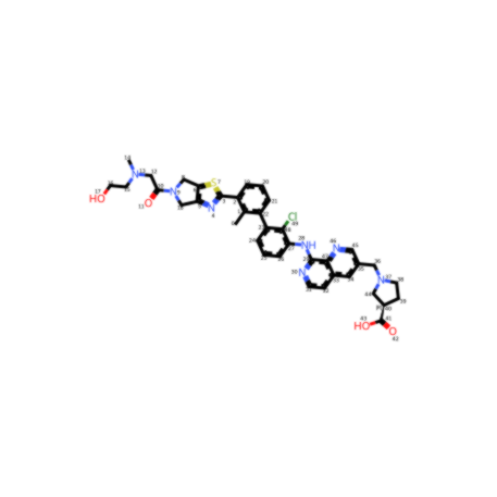 Cc1c(-c2nc3c(s2)CN(C(=O)CN(C)CCO)C3)cccc1-c1cccc(Nc2nccc3cc(CN4CC[C@@H](C(=O)O)C4)cnc23)c1Cl